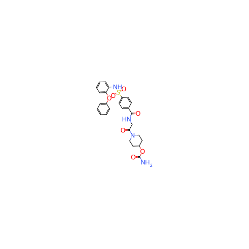 NC(=O)OC1CCN(C(=O)CNC(=O)c2ccc(S(=O)(=O)Nc3ccccc3Oc3ccccc3)cc2)CC1